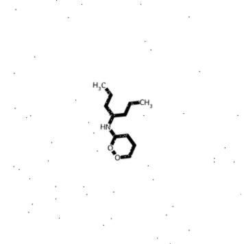 CCCC(CCC)N[C]1CCCOO1